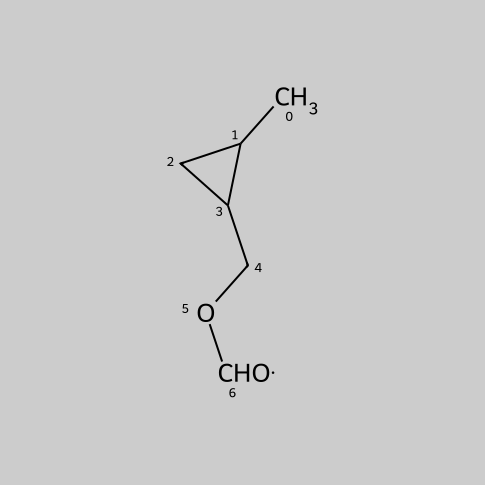 CC1CC1CO[C]=O